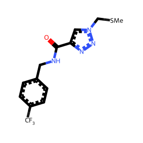 CSCn1cc(C(=O)NCc2ccc(C(F)(F)F)cc2)nn1